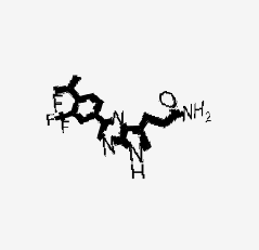 CC(C)c1ccc(-c2cnc3[nH]cc(C=CC(N)=O)c3n2)cc1C(F)(F)F